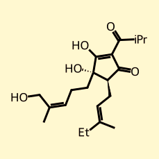 CCC(C)=CC[C@@H]1C(=O)C(C(=O)C(C)C)=C(O)[C@]1(O)CCC=C(C)CO